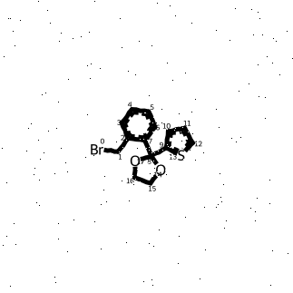 BrCc1ccccc1C1(c2cccs2)OCCO1